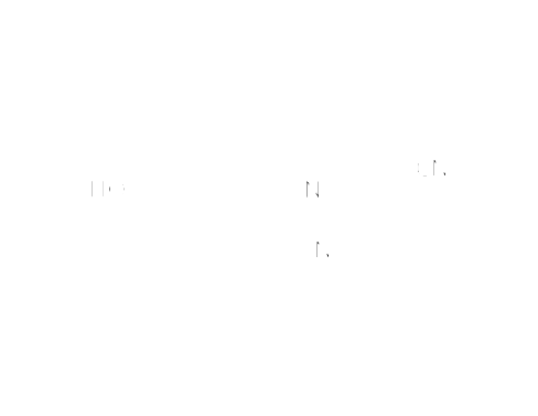 N#CCn1cc(CO)cn1